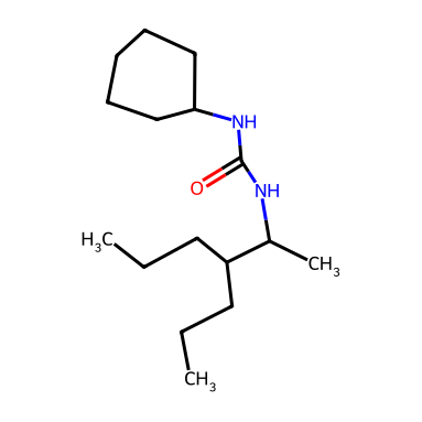 CCCC(CCC)C(C)NC(=O)NC1CCCCC1